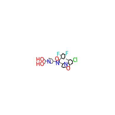 Cc1cc(Cl)cc(C)c1-n1cc(-c2nc(C3CCN(C(CO)CO)CC3)oc2-c2ccc(F)cc2F)ccc1=O